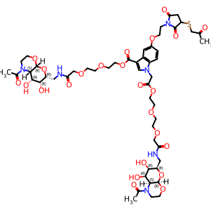 CC(=O)CSC1CC(=O)N(CCOc2ccc3c(c2)c(C(=O)OCCOCCOCC(=O)NC[C@H]2O[C@H]4OCCN(C(C)=O)[C@H]4[C@@H](O)[C@H]2O)cn3CC(=O)OCCOCCOCC(=O)NC[C@H]2O[C@H]3OCCN(C(C)=O)[C@H]3[C@@H](O)[C@H]2O)C1=O